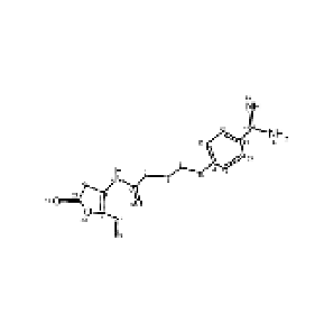 C=CC1=C(NC(=O)CCCCc2ccc(C(=N)N)cc2)CC(=O)O1